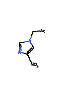 CC(=O)Cn1cnc([N+](=O)[O-])c1